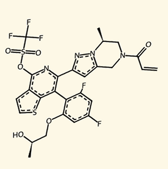 C=CC(=O)N1Cc2cc(-c3nc(OS(=O)(=O)C(F)(F)F)c4ccsc4c3-c3c(F)cc(F)cc3OC[C@@H](C)O)nn2[C@@H](C)C1